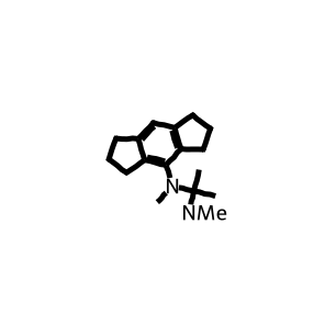 CNC(C)(C)N(C)c1c2c(cc3c1CCC3)CCC2